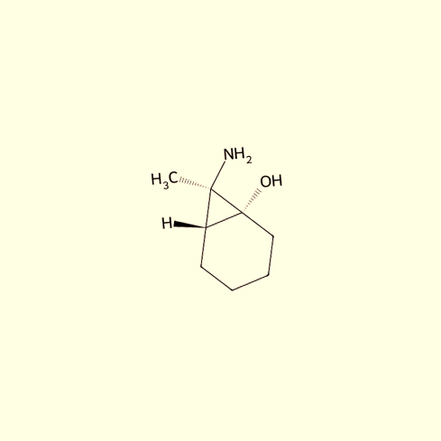 C[C@@]1(N)[C@H]2CCCC[C@@]21O